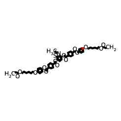 C=CC(=O)OCCCCCCOc1ccc(OC(=O)C2CCC(C(=O)Oc3ccc(OC(=O)C4CCC(C(=O)Oc5ccc(OCCCCCCOC(=O)C=C)cc5)CC4)c4sc(C)nc34)CC2)cc1